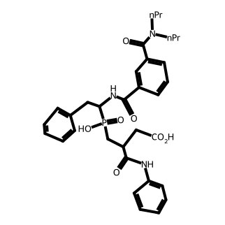 CCCN(CCC)C(=O)c1cccc(C(=O)NC(Cc2ccccc2)P(=O)(O)CC(CC(=O)O)C(=O)Nc2ccccc2)c1